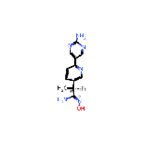 CC(C)[C@@](C)(/C(N)=N/O)c1ccc(-c2cnc(N)nc2)nc1